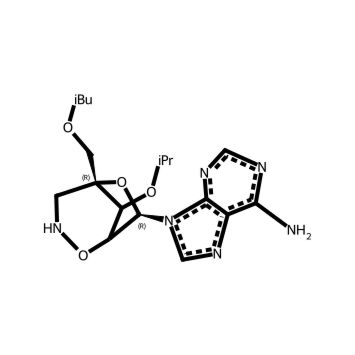 CCC(C)OC[C@]12CNOC(C1OC(C)C)[C@H](n1cnc3c(N)ncnc31)O2